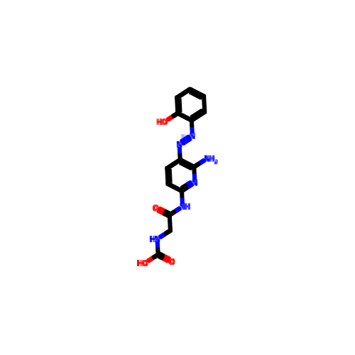 Nc1nc(NC(=O)CNC(=O)O)ccc1/N=N/c1ccccc1O